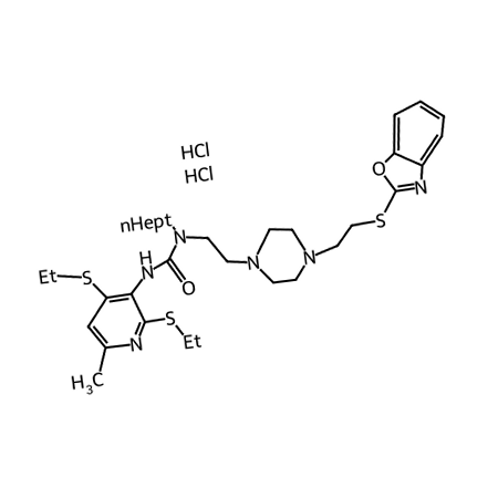 CCCCCCCN(CCN1CCN(CCSc2nc3ccccc3o2)CC1)C(=O)Nc1c(SCC)cc(C)nc1SCC.Cl.Cl